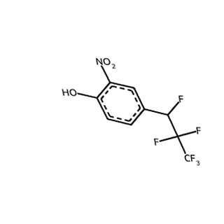 O=[N+]([O-])c1cc(C(F)C(F)(F)C(F)(F)F)ccc1O